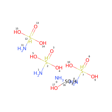 N.N[SH](=O)(O)O.N[SH](=O)(O)O.N[SH](=O)(O)O.O=S(=O)(O)O